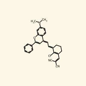 CN(C)c1ccc2c(c1)OC(c1ccccc1)=C/C2=C\C=C1/CCCC(C=C(C#N)C#N)=C1Cl